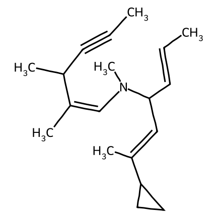 CC#CC(C)/C(C)=C\N(C)C(/C=C/C)/C=C(\C)C1CC1